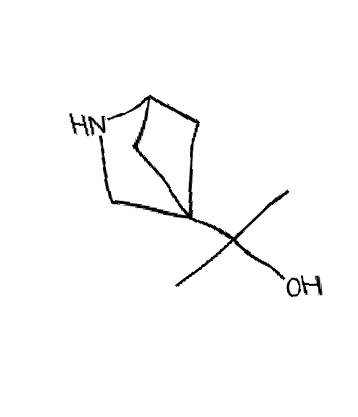 CC(C)(O)C12CNC(C1)C2